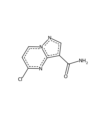 NC(=O)c1cnn2ccc(Cl)nc12